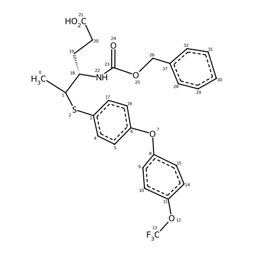 CC(Sc1ccc(Oc2ccc(OC(F)(F)F)cc2)cc1)[C@H](CCC(=O)O)NC(=O)OCc1ccccc1